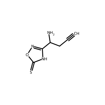 C#CCC(N)c1noc(=S)[nH]1